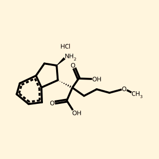 COCCCC(C(=O)O)(C(=O)O)[C@@H]1c2ccccc2C[C@H]1N.Cl